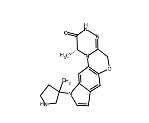 C[C@@H]1C(=O)NN=C2COc3cc4ccn(C5(C)CCNC5)c4cc3N21